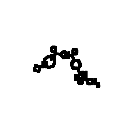 Cc1nc(-c2ccc(C(=O)N3CC(C(=O)N4CCCN(C5CCC5)CC4)C3)cc2)no1